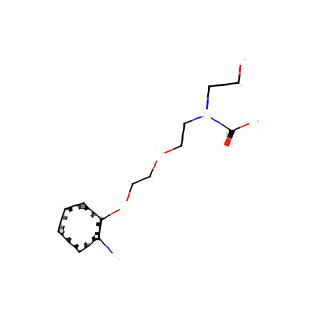 Nc1ccccc1OCCOCCN(CCO)C(=O)O